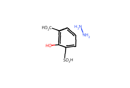 NN.O=C(O)c1cccc(S(=O)(=O)O)c1O